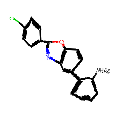 CC(=O)Nc1ccccc1-c1ccc2oc(-c3ccc(Cl)cc3)nc2c1